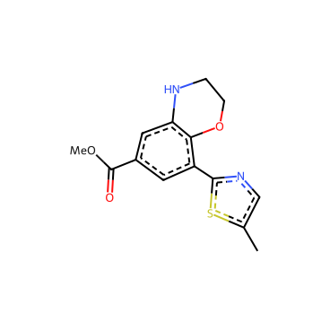 COC(=O)c1cc2c(c(-c3ncc(C)s3)c1)OCCN2